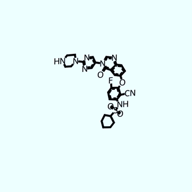 N#Cc1c(NS(=O)(=O)C2CCCCC2)ccc(F)c1Oc1ccc2ncn(-c3cnc(N4CCNCC4)nc3)c(=O)c2c1